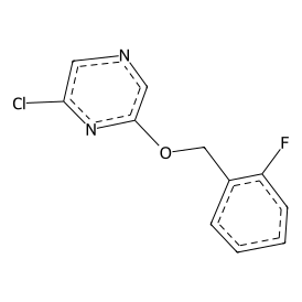 Fc1ccccc1COc1cncc(Cl)n1